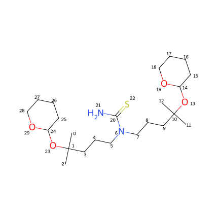 CC(C)(CCCN(CCCC(C)(C)OC1CCCCO1)C(N)=S)OC1CCCCO1